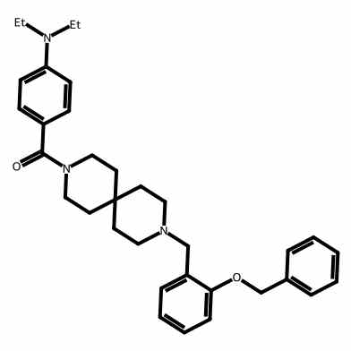 CCN(CC)c1ccc(C(=O)N2CCC3(CCN(Cc4ccccc4OCc4ccccc4)CC3)CC2)cc1